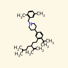 C=C(C)CCC(CCc1cc(C2CCN(Cc3cc(C)ccc3C)CC2)ccc1C(=C)C)C(=C)C